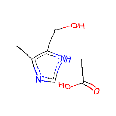 CC(=O)O.Cc1nc[nH]c1CO